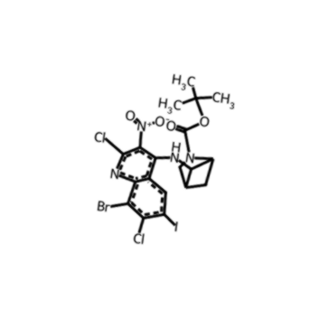 CC(C)(C)OC(=O)N1CC2CC1C2Nc1c([N+](=O)[O-])c(Cl)nc2c(Br)c(Cl)c(I)cc12